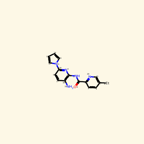 CCc1ccc(C(=O)Nc2nc(-n3cccc3)ccc2N)nc1